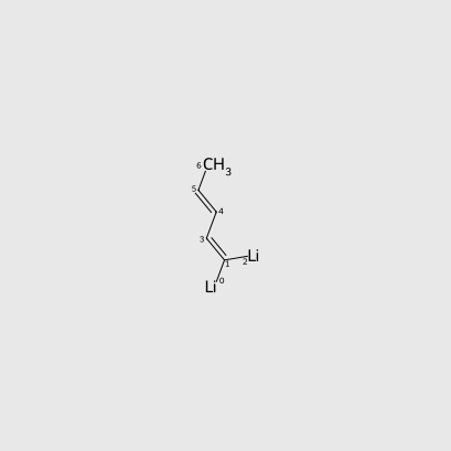 [Li][C]([Li])=CC=CC